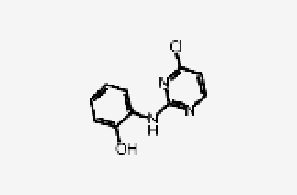 Oc1ccccc1Nc1nccc(Cl)n1